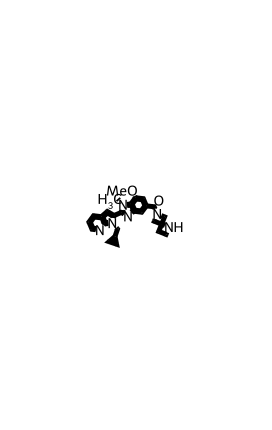 COc1cc(C(=O)N2CC3(CCN3)C2)cc2nc(-c3cc4cccnc4n3CC3CC3)n(C)c12